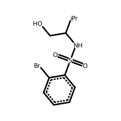 CC(C)C(CO)NS(=O)(=O)c1ccccc1Br